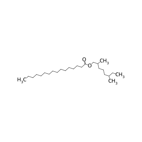 CCCCCCCCCCCCCCCC(=O)OCC(C)CCCC(C)CC